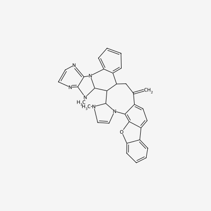 C=C1CC2c3ccccc3N3c4nccnc4N(C)C3C2C2N(C)C=CN2c2c1ccc1c2oc2ccccc21